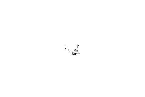 [I-].[I-].[I-].[Ru+3].[Ru]